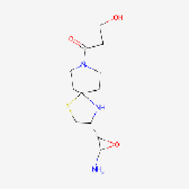 NC1OC1[C@@H]1CSC2(CCN(C(=O)CCO)CC2)N1